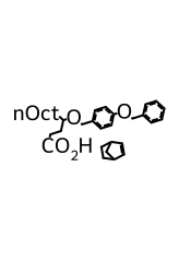 C1=CC2CCC1C2.CCCCCCCCC(CCC(=O)O)OCc1ccc(OCc2ccccc2)cc1